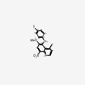 COc1cc([N+](=O)[O-])c2nccc(C)c2c1Oc1ccc(F)cc1